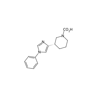 O=C(O)N1CCC[C@H](c2cn(-c3ccccc3)cn2)C1